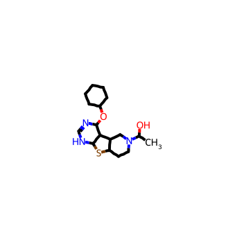 CC(O)N1CCC2SC3NC=NC(OC4CCCCC4)C3C2C1